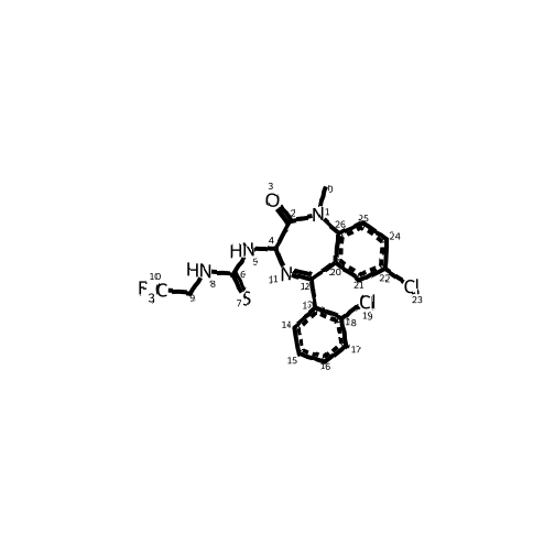 CN1C(=O)C(NC(=S)NCC(F)(F)F)N=C(c2ccccc2Cl)c2cc(Cl)ccc21